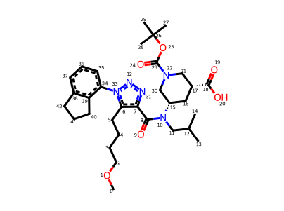 COCCCCc1c(C(=O)N(CC(C)C)[C@H]2C[C@@H](C(=O)O)CN(C(=O)OC(C)(C)C)C2)nnn1-c1cccc2c1CCC2